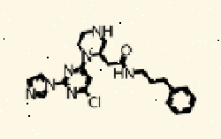 O=C(CC1CNCCN1c1cc(Cl)nc(-n2ccnc2)n1)NCCCc1ccccc1